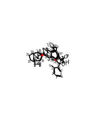 Cc1ccccc1-c1noc(C2CC2)c1COC1CC2CC[C@@H](C1)N2c1nc2c(C)cc(C(=O)O)cc2s1